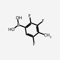 Cc1c(F)cc(B(O)O)c(F)c1F